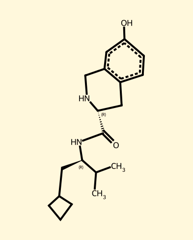 CC(C)[C@@H](CC1CCC1)NC(=O)[C@H]1Cc2ccc(O)cc2CN1